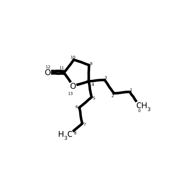 CCCCC1(CCCC)CCC(=O)O1